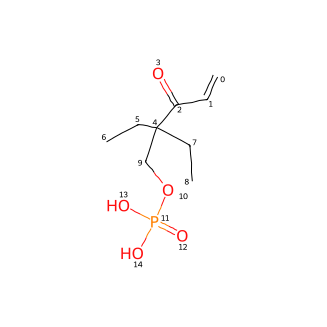 C=CC(=O)C(CC)(CC)COP(=O)(O)O